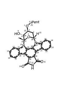 CCC[C@H](C)O[C@H]1C[C@H]2O[C@@](C)([C@@H]1O)n1c3ccccc3c3c4c(c5c6ccccc6n2c5c31)C(=O)NC4=O